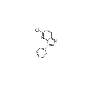 Clc1ccc2ncc(-c3ccccc3)n2n1